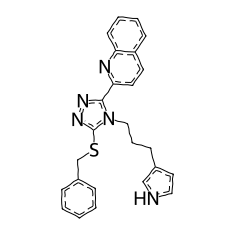 c1ccc(CSc2nnc(-c3ccc4ccccc4n3)n2CCCc2cc[nH]c2)cc1